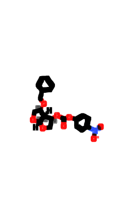 O=C(Oc1ccc([N+](=O)[O-])cc1)O[C@H]1CO[C@H]2OC[C@H](OCc3ccccc3)[C@H]21